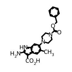 Cc1cc2c(C(=O)O)c(N)[nH]c2cc1N1CCN(C(=O)OCc2ccccc2)CC1